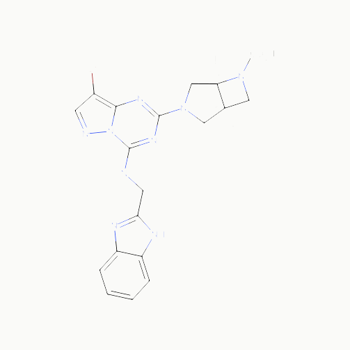 O=C(O)N1C[C@H]2CN(c3nc(NCc4nc5ccccc5[nH]4)n4ncc(Br)c4n3)C[C@H]21